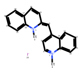 CCN1C(=Cc2cc[n+](CC)c3ccccc23)C=Cc2ccccc21.[I-]